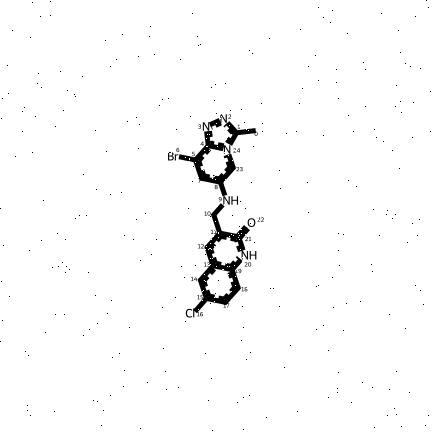 Cc1nnc2c(Br)cc(NCc3cc4cc(Cl)ccc4[nH]c3=O)cn12